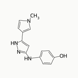 Cn1ccc(-c2cc(Nc3ccc(O)cc3)n[nH]2)c1